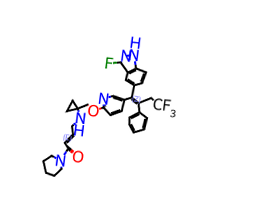 O=C(/C=C/CNC1(COc2ccc(/C(=C(/CC(F)(F)F)c3ccccc3)c3ccc4[nH]nc(F)c4c3)cn2)CC1)N1CCCCC1